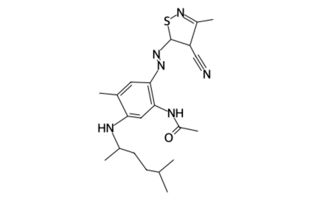 CC(=O)Nc1cc(NC(C)CCC(C)C)c(C)cc1N=NC1SN=C(C)C1C#N